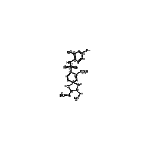 O=C(O)C1=CC2(CCC1S(=O)(=O)Nc1ccc(F)cc1Cl)OC(CO)C(CO)O2